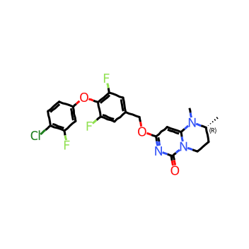 C[C@@H]1CCn2c(cc(OCc3cc(F)c(Oc4ccc(Cl)c(F)c4)c(F)c3)nc2=O)N1C